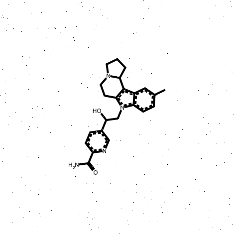 Cc1ccc2c(c1)c1c(n2CC(O)c2ccc(C(N)=O)nc2)CCN2CCCC12